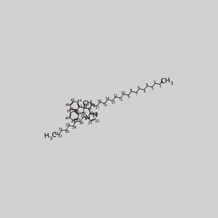 CCCCCCCCCCCCCCCCCCCC(c1nccn1CCCCCCCCC)C(C)(Cc1ccccc1)c1ccccc1